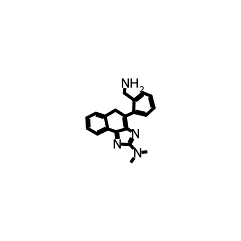 CN(C)C1=NC2=C(c3ccccc3CN)Cc3ccccc3C2=N1